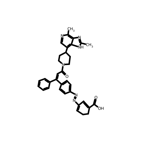 Cc1nc2c(C)ncc(C3CCN(C(=O)C=C(c4ccccc4)c4ccc(N=NC5=CCCC(C(=O)O)=C5)cc4)CC3)c2[nH]1